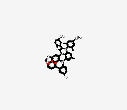 Cc1cc2c3c(c1)N(c1c(C)cc(C(C)(C)C)cc1C)c1c(oc4ccc(C(C)(C)C)cc14)B3c1cc3c(cc1N2c1ccc(C(C)(C)C)cc1-c1ccccc1)OCO3